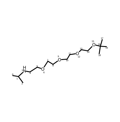 CC(C)NCCOCCOCCOCCOC(C)(C)C